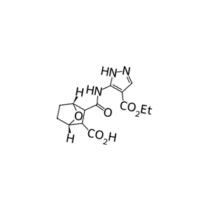 CCOC(=O)c1cn[nH]c1NC(=O)C1C(C(=O)O)[C@@H]2CC[C@H]1O2